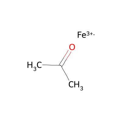 CC(C)=O.[Fe+3]